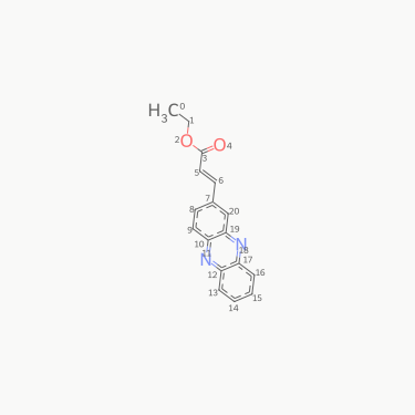 CCOC(=O)/C=C/c1ccc2nc3ccccc3nc2c1